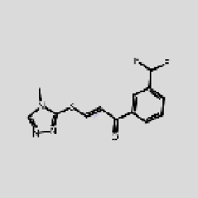 Cn1cnnc1S/C=C/C(=O)c1cccc(C(F)F)c1